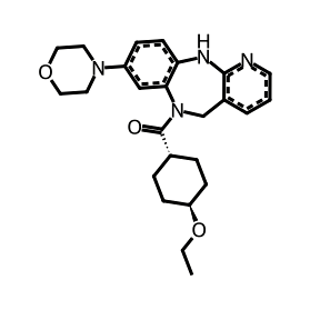 CCO[C@H]1CC[C@H](C(=O)N2Cc3cccnc3Nc3ccc(N4CCOCC4)cc32)CC1